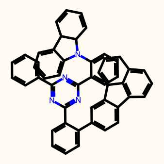 C1=CC2c3ccccc3N(c3ccccc3-c3nc(-c4ccccc4)nc(-c4ccccc4-c4ccc5c(c4)-c4cccc6cccc-5c46)n3)C2C=C1